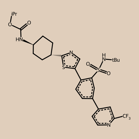 CC(C)OC(=O)N[C@H]1CC[C@H](c2ncc(-c3ccc(-c4ccnc(C(F)(F)F)c4)cc3S(=O)(=O)NC(C)(C)C)s2)CC1